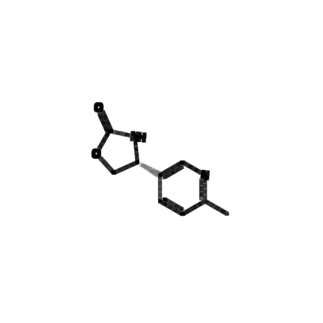 Cc1ccc([C@@H]2COC(=O)N2)cn1